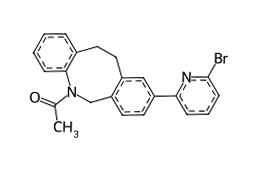 CC(=O)N1Cc2ccc(-c3cccc(Br)n3)cc2CCc2ccccc21